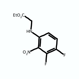 CCOC(=O)CNc1ccc(F)c(F)c1[N+](=O)[O-]